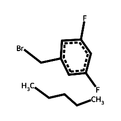 CCCCC.Fc1cc(F)cc(CBr)c1